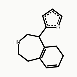 C1=CC2=C(CC1)C(c1ccco1)CNCC2